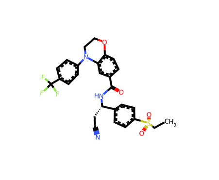 CCS(=O)(=O)c1ccc([C@H](CC#N)NC(=O)c2ccc3c(c2)N(c2ccc(C(F)(F)F)cc2)CCO3)cc1